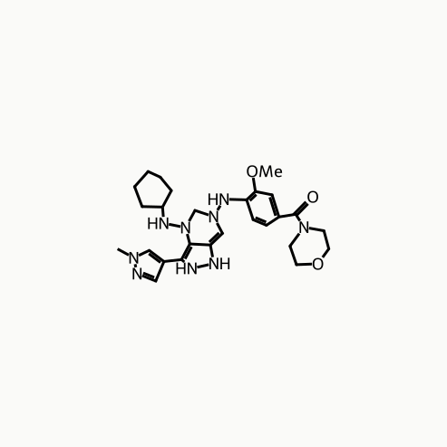 COc1cc(C(=O)N2CCOCC2)ccc1NN1C=C2NNC(c3cnn(C)c3)=C2N(NC2CCCCC2)C1